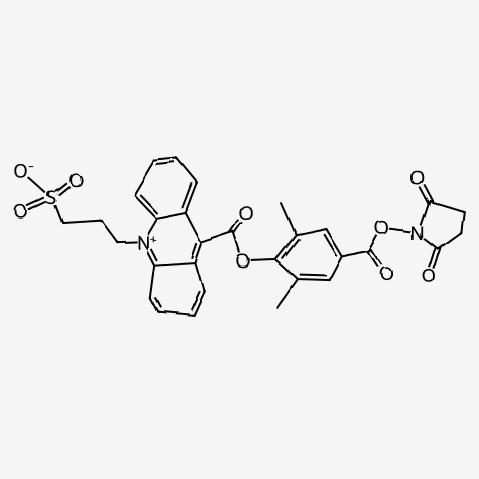 Cc1cc(C(=O)ON2C(=O)CCC2=O)cc(C)c1OC(=O)c1c2ccccc2[n+](CCCS(=O)(=O)[O-])c2ccccc12